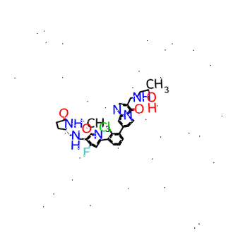 COc1nc(-c2cccc(-c3ccn4c(=O)c(CNCC(C)O)cnc4c3)c2Cl)cc(F)c1CNC[C@@H]1CCC(=O)N1